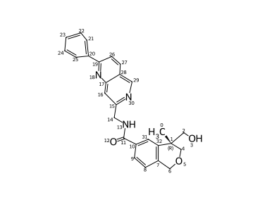 C[C@@]1(CO)COCc2ccc(C(=O)NCc3cc4nc(-c5ccccc5)ccc4cn3)cc21